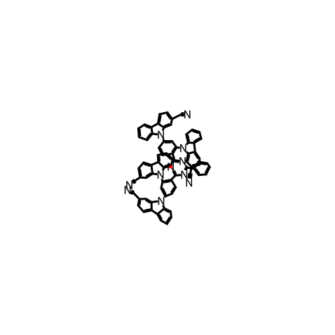 N#Cc1ccc2c3ccccc3n(-c3ccc(-c4nc(-c5ccccc5)nc(-c5ccc(-n6c7ccccc7c7ccc(C#N)cc76)cc5-n5c6ccccc6c6ccc(C#N)cc65)n4)c(-n4c5ccccc5c5ccc(C#N)cc54)c3)c2c1